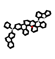 c1ccc(-c2ccccc2N(c2ccc3c(ccc4c5ccc(N(c6ccccc6)c6ccc7c(ccc8ccccc87)c6)cc5c5ccccc5c34)c2)c2cccc3c2oc2ccccc23)cc1